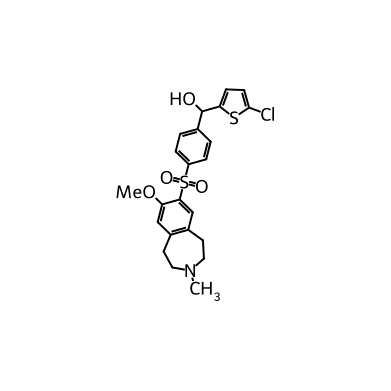 COc1cc2c(cc1S(=O)(=O)c1ccc(C(O)c3ccc(Cl)s3)cc1)CCN(C)CC2